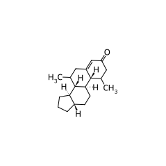 CC1CC2=CC(=O)CC(C)[C@@H]2[C@H]2CC[C@@H]3CCC[C@H]3[C@H]12